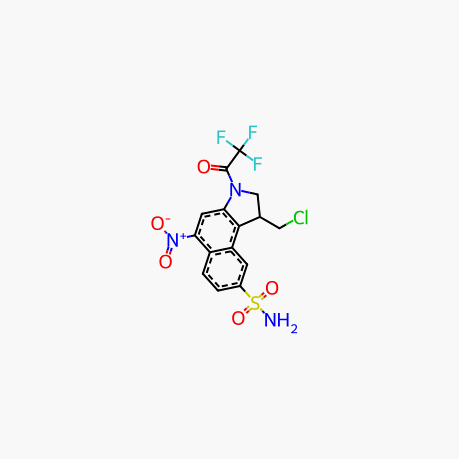 NS(=O)(=O)c1ccc2c([N+](=O)[O-])cc3c(c2c1)C(CCl)CN3C(=O)C(F)(F)F